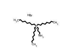 Br.CCCCCCCC[PH](CCCN)(CCCCCCCC)CCCCCCCC